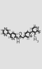 Cc1c(-c2ccc(CC(=O)Nc3ccc(-c4cnccn4)cn3)cn2)ccnc1F